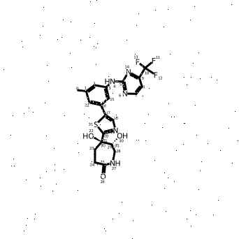 Cc1cc(Nc2nccc(C(F)(F)F)n2)cc(-c2cnc([C@@]3(O)CCC(=O)NC[C@H]3O)s2)c1